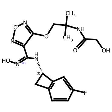 CC(C)(COc1nonc1/C(=N\O)N[C@H]1Cc2ccc(F)cc21)NC(=O)CO